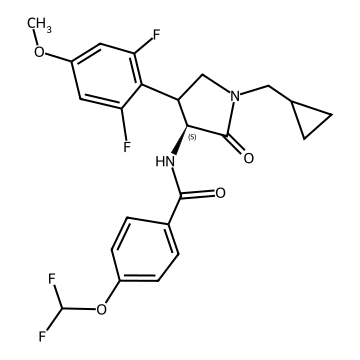 COc1cc(F)c(C2CN(CC3CC3)C(=O)[C@H]2NC(=O)c2ccc(OC(F)F)cc2)c(F)c1